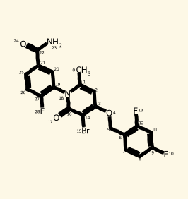 Cc1cc(OCc2ccc(F)cc2F)c(Br)c(=O)n1-c1cc(C(N)=O)ccc1F